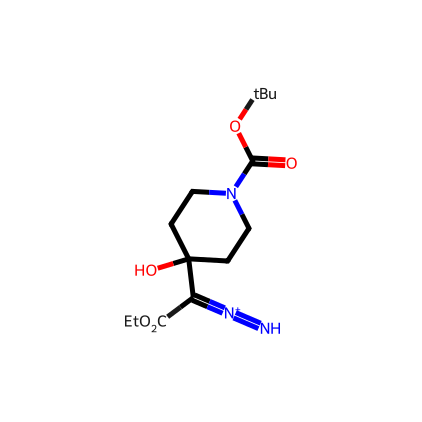 CCOC(=O)C(=[N+]=N)C1(O)CCN(C(=O)OC(C)(C)C)CC1